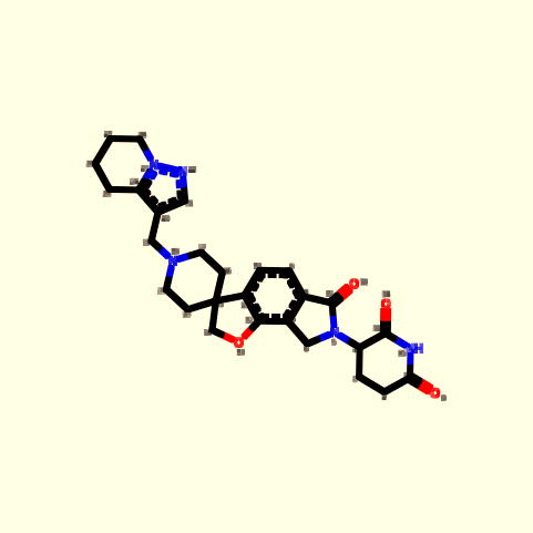 O=C1CCC(N2Cc3c(ccc4c3OCC43CCN(Cc4cnn5c4CCCC5)CC3)C2=O)C(=O)N1